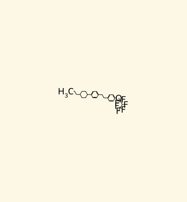 CCCC1CCC(c2ccc(CCc3ccc(OC(F)(F)C(F)C(F)(F)F)cc3)cc2)CC1